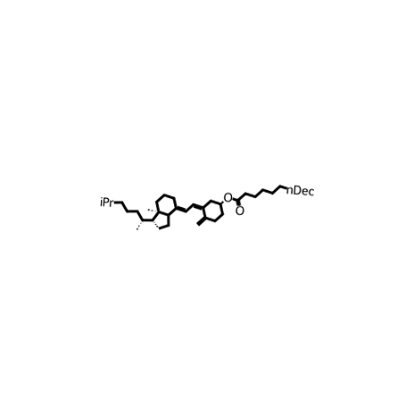 C=C1CC[C@H](OC(=O)CCCCCCCCCCCCCCC)C/C1=C/C=C1CCC[C@@]2(C)C1CC[C@@H]2[C@H](C)CCCC(C)C